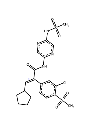 CS(=O)(=O)Nc1cnc(NC(=O)/C(=C/C2CCCC2)c2ccc(S(C)(=O)=O)c(Cl)c2)cn1